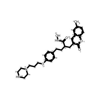 Cc1ccc2oc(=O)c(CC(CCc3ccc(OCCCN4CCNCC4)cc3)C(=O)NO)cc2c1